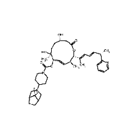 C/C(=C\C=C\[C@H](C)c1ccccn1)[C@H]1OC(=O)C[C@@H](O)CC[C@](C)(O)[C@H](OC(=O)N2CCC(N3CC4CCC(C3)C4(F)F)CC2)/C=C/[C@@H]1C